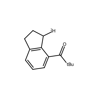 [2H]C1CCc2cccc(C(=O)C(C)(C)C)c21